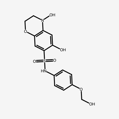 O=S(=O)(Nc1ccc(OCO)cc1)c1cc2c(cc1O)N(O)CCO2